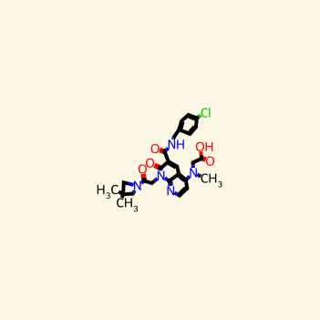 CN(CC(=O)O)c1ccnc2c1cc(C(=O)NCc1ccc(Cl)cc1)c(=O)n2CC(=O)N1CC(C)(C)C1